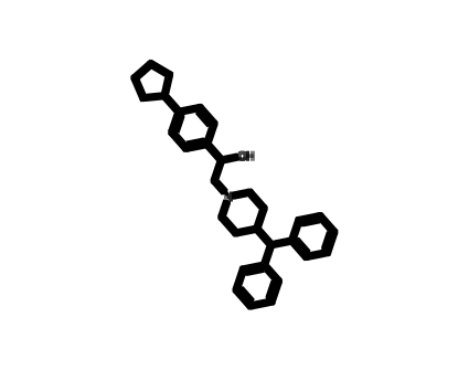 OC(CN1CCC(C(c2ccccc2)c2ccccc2)CC1)c1ccc(C2CCCC2)cc1